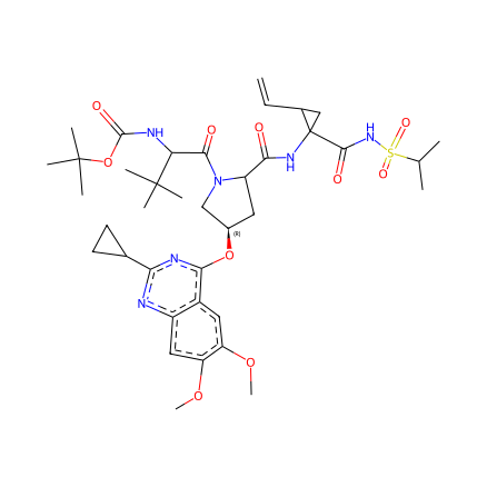 C=CC1CC1(NC(=O)C1C[C@@H](Oc2nc(C3CC3)nc3cc(OC)c(OC)cc23)CN1C(=O)C(NC(=O)OC(C)(C)C)C(C)(C)C)C(=O)NS(=O)(=O)C(C)C